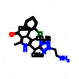 CCOC(=O)C1=C(C(OC)c2nnn(CCN)n2)NC(C)=C(C(=O)OC)C1c1ccccc1Cl